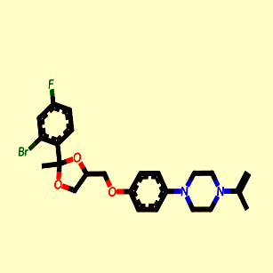 C=C(C)N1CCN(c2ccc(OCC3COC(C)(c4ccc(F)cc4Br)O3)cc2)CC1